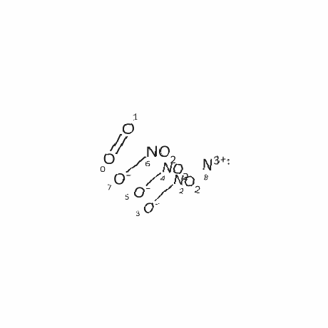 O=O.O=[N+]([O-])[O-].O=[N+]([O-])[O-].O=[N+]([O-])[O-].[N+3]